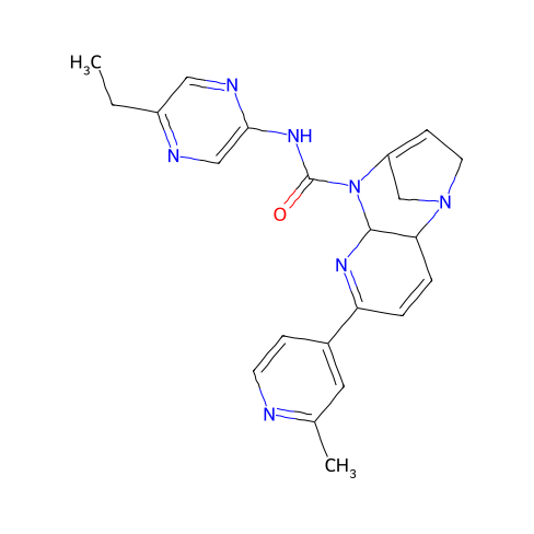 CCc1cnc(NC(=O)N2C3=CCN(C3)C3C=CC(c4ccnc(C)c4)=NC32)cn1